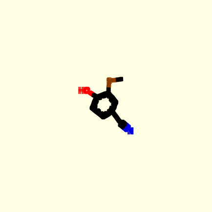 CSc1cc(C#N)ccc1O